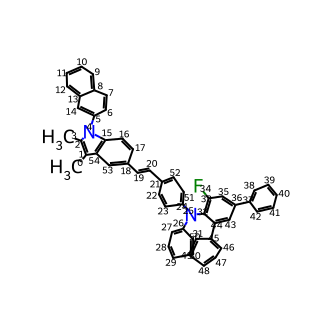 Cc1c(C)n(-c2ccc3ccccc3c2)c2ccc(/C=C/c3ccc(N(c4ccccc4)c4c(F)cc(-c5ccccc5)cc4-c4ccccc4)cc3)cc12